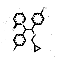 N#Cc1ccc(C(OCC2CC2)C(c2ccc(F)cc2)n2ccccc2=O)cc1